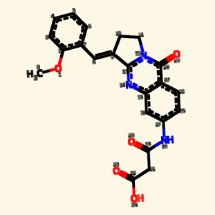 COc1ccccc1C=C1CCn2c1nc1cc(NC(=O)CC(=O)O)ccc1c2=O